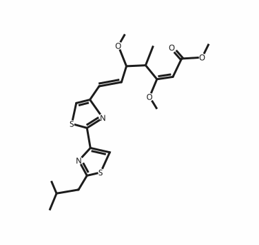 COC(=O)/C=C(/OC)C(C)C(/C=C/c1csc(-c2csc(CC(C)C)n2)n1)OC